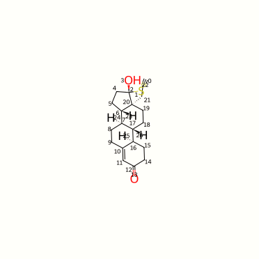 C#S[C@@]1(O)CC[C@H]2[C@@H]3CCC4=CC(=O)CC[C@@H]4[C@H]3CC[C@@]21CC